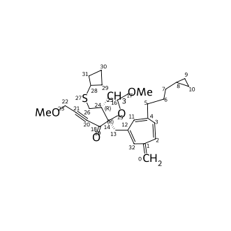 C=C1C=CC(CCCC2CC2)=CC(C[C@](OCOC)(C(=O)C#CCOC)[C@@H](C)CSC2CCC2)=C1